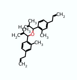 C=CCc1ccc(C(OC(C(=C)C)c2ccc(CC=C)cc2C)C(=C)C)c(C)c1